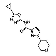 O=C(Nc1nnc(C2CC2)o1)c1ccn(C2CCOCC2)n1